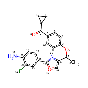 CC(Oc1ccc(C(=O)C2CC2)cc1)c1coc(-c2ccc(N)c(F)c2)n1